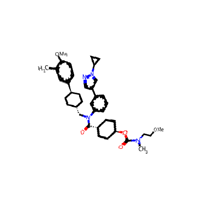 COCCN(C)C(=O)O[C@H]1CC[C@H](C(=O)N(C[C@H]2CC[C@H](c3ccc(OC)c(C)c3)CC2)c2cccc(-c3cnn(C4CC4)c3)c2)CC1